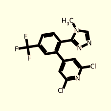 Cn1cnnc1-c1ccc(C(F)(F)F)cc1-c1cc(Cl)nc(Cl)c1